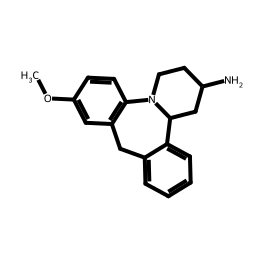 COc1ccc2c(c1)Cc1ccccc1C1CC(N)CCN21